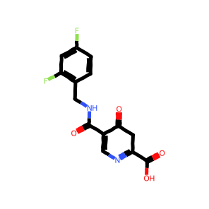 O=C(O)C1=NC=C(C(=O)NCc2ccc(F)cc2F)C(=O)C1